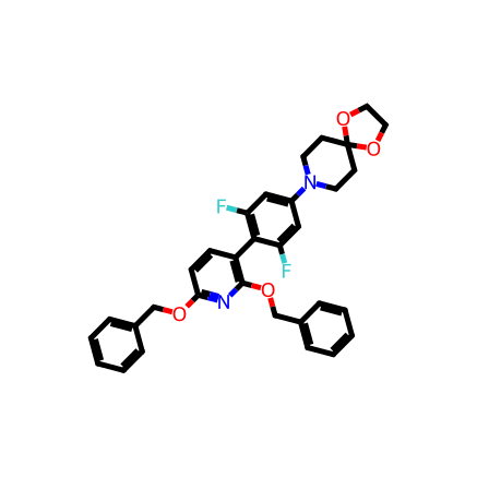 Fc1cc(N2CCC3(CC2)OCCO3)cc(F)c1-c1ccc(OCc2ccccc2)nc1OCc1ccccc1